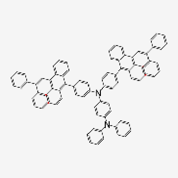 C(=C(c1ccccc1)c1ccccc1)c1c2ccccc2c(-c2ccc(N(c3ccc(-c4c5ccccc5c(C=C(c5ccccc5)c5ccccc5)c5ccccc45)cc3)c3ccc(N(c4ccccc4)c4ccccc4)cc3)cc2)c2ccccc12